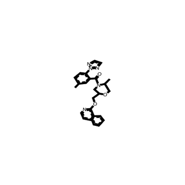 Cc1ccc(-n2nccn2)c(C(=O)N2CC(COc3nccc4ccccc34)OCC2C)c1